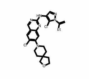 C=C(CC)n1ncc(Nc2ncc3cc(Cl)c(N4CCC5(CCOC5)CC4)cc3n2)c1Cl